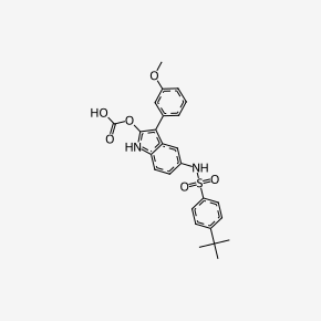 COc1cccc(-c2c(OC(=O)O)[nH]c3ccc(NS(=O)(=O)c4ccc(C(C)(C)C)cc4)cc23)c1